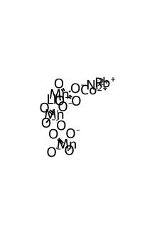 [Co+2].[Li+].[Ni+2].[O]=[Mn](=[O])([O-])[O-].[O]=[Mn](=[O])([O-])[O-].[O]=[Mn](=[O])([O-])[O-].[Rb+]